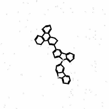 C1=Cc2c(c3c(c4ccccc24)CCC(c2ccc4c(c2)c2ccccc2n4-c2ccc4sc5ccccc5c4c2)=C3)CC1